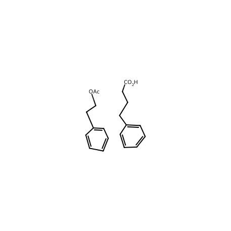 CC(=O)OCCc1ccccc1.O=C(O)CCCc1ccccc1